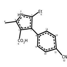 CCc1[nH]c(C)c(C(=O)O)c1-c1ccc(C#N)cc1